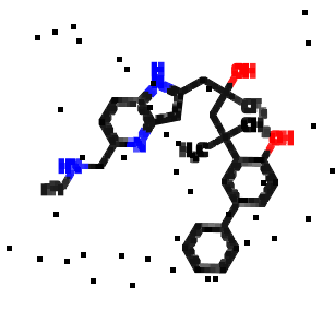 CCCNCc1ccc2[nH]c(CC(O)(CC(C)(C)c3cc(-c4ccccc4)ccc3O)C(F)(F)F)cc2n1